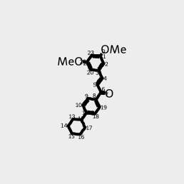 COc1cc(/C=C/C(=O)c2ccc(C3CCCCC3)cc2)cc(OC)c1